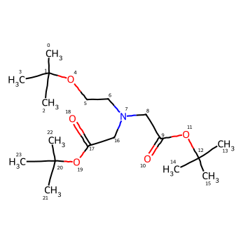 CC(C)(C)OCCN(CC(=O)OC(C)(C)C)CC(=O)OC(C)(C)C